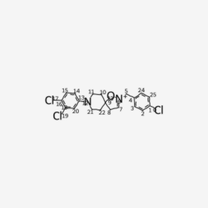 Clc1ccc(C[N+]2=CCC3(CCN(c4ccc(Cl)c(Cl)c4)CC3)O2)cc1